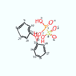 O=P(O)(O)S(=O)(=O)O.c1ccc(Oc2ccccc2)cc1